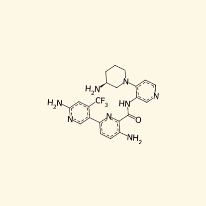 Nc1cc(C(F)(F)F)c(-c2ccc(N)c(C(=O)Nc3cnccc3N3CCC[C@H](N)C3)n2)cn1